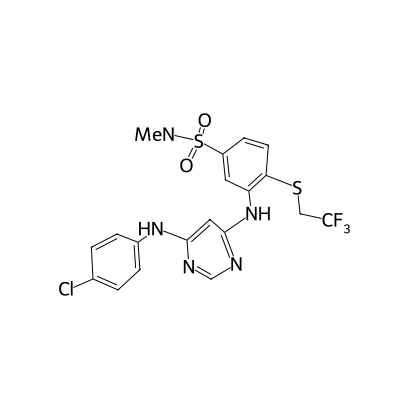 CNS(=O)(=O)c1ccc(SCC(F)(F)F)c(Nc2cc(Nc3ccc(Cl)cc3)ncn2)c1